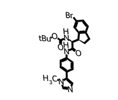 Cn1cncc1-c1ccc(NC(=O)[C@@H](NC(=O)OC(C)(C)C)[C@@H]2CCc3ccc(Br)cc32)cc1